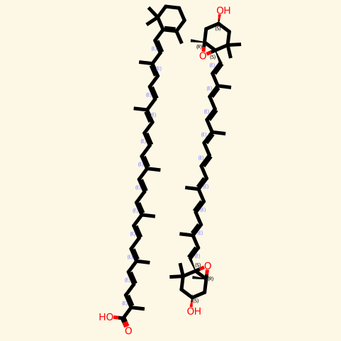 CC(/C=C/C=C(C)/C=C/[C@@]12O[C@]1(C)C[C@@H](O)CC2(C)C)=C\C=C\C=C(C)\C=C\C=C(C)\C=C\[C@@]12O[C@]1(C)C[C@@H](O)CC2(C)C.CC1=C(/C=C/C(C)=C/C=C/C(C)=C/C=C/C=C(C)/C=C/C=C(C)/C=C/C=C(C)/C=C/C=C(\C)C(=O)O)C(C)(C)CCC1